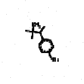 BC(C)(C)C(C)c1ccc(C(C)(C)C)cc1